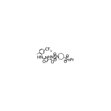 CCCS(=O)(=O)C1CCCN(S(=O)(=O)NC(=O)c2coc(Nc3cc(C(F)(F)F)ccc3C)n2)CC1